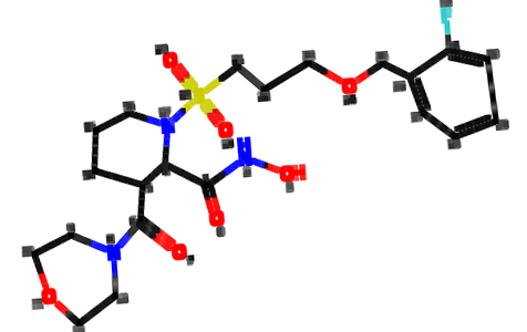 O=C(NO)C1C(C(=O)N2CCOCC2)CCCN1S(=O)(=O)CCCOCc1ccccc1F